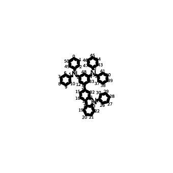 c1ccc(N(c2ccccc2)c2cc(-c3ccc4c5ccccc5n(-c5ccccc5)c4c3)cc(N(c3ccccc3)c3ccccc3)c2)cc1